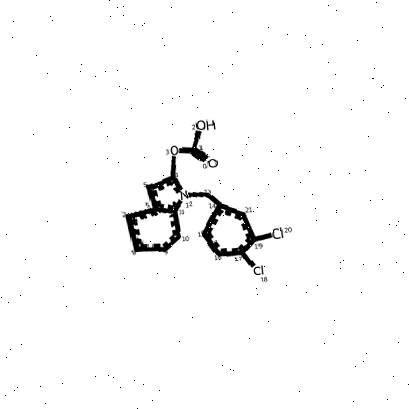 O=C(O)Oc1cc2ccccc2n1Cc1ccc(Cl)c(Cl)c1